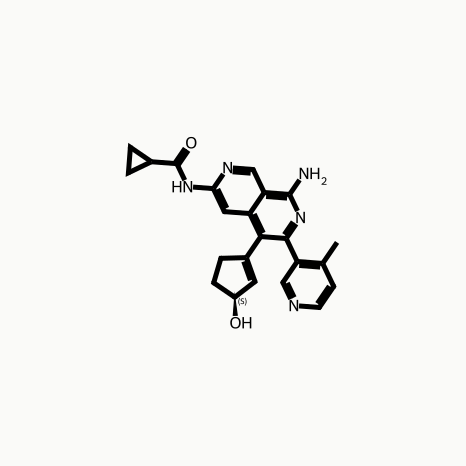 Cc1ccncc1-c1nc(N)c2cnc(NC(=O)C3CC3)cc2c1C1=C[C@@H](O)CC1